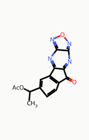 CC(=O)OC(C)c1ccc2c(c1)-c1nc3nonc3nc1C2=O